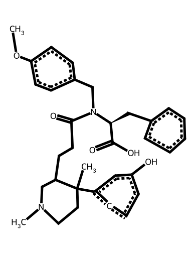 COc1ccc(CN(C(=O)CCC2CN(C)CCC2(C)c2cccc(O)c2)[C@@H](Cc2ccccc2)C(=O)O)cc1